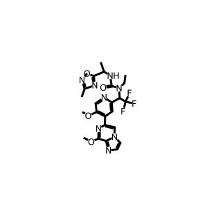 CCN(C(=O)NC(C)c1nc(C)no1)C(c1cc(-c2cn3ccnc3c(OC)n2)c(OC)cn1)C(F)(F)F